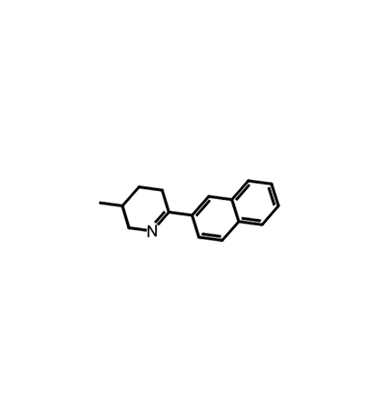 CC1CCC(c2ccc3ccccc3c2)=NC1